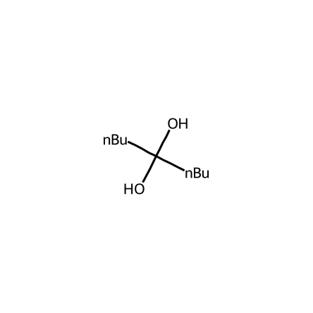 CCCCC(O)(O)CCCC